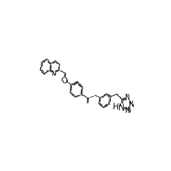 CC(Cc1cccc(Cc2nnn[nH]2)c1)c1ccc(OCc2ccc3ccccc3n2)cc1